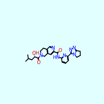 CC(C)C[C@H](O)C(=O)N1CCc2cnc(C(=O)Nc3cccc(-c4nnc5n4CCC5)n3)cc2C1